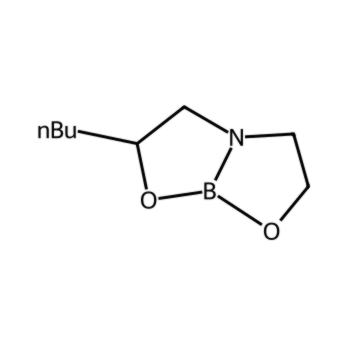 CCCCC1CN2CCOB2O1